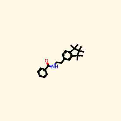 CC1(C)c2ccc(CCNC(=O)c3ccccc3)cc2C(C)(C)C1(C)C